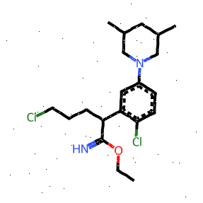 CCOC(=N)C(CCCCl)c1cc(N2CC(C)CC(C)C2)ccc1Cl